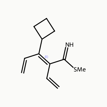 C=C/C(C(=N)SC)=C(\C=C)C1CCC1